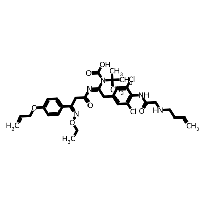 C=CCCNCC(=O)Nc1c(Cl)cc(CC(=NC(=O)CC(=NOCC)c2ccc(OCC=C)cc2)N(C(=O)O)C(C)(C)C)cc1Cl